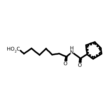 O=C(O)CCCCCCC(=O)NC(=O)c1ccccc1